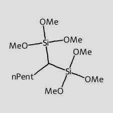 CCCCCC([Si](OC)(OC)OC)[Si](OC)(OC)OC